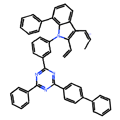 C=Cc1c(/C=C\C)c2cccc(-c3ccccc3)c2n1-c1cccc(-c2nc(-c3ccccc3)nc(-c3ccc(-c4ccccc4)cc3)n2)c1